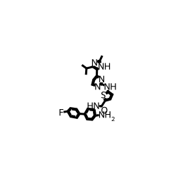 Cc1nc(C(C)C)c(-c2ccnc(Nc3ccc(C(=O)Nc4cc(-c5ccc(F)cc5)ccc4N)s3)n2)[nH]1